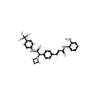 Nc1ccccc1NC(=O)C=Cc1ccc(C(C(=O)Nc2ccc(C(F)(F)F)cc2)N2CCC2)cc1